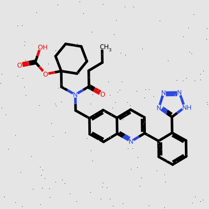 CCCC(=O)N(Cc1ccc2nc(-c3ccccc3-c3nnn[nH]3)ccc2c1)CC1(OC(=O)O)CCCCC1